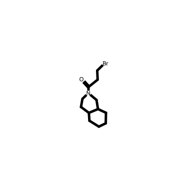 O=C(CCBr)N1CCC2CCCCC2C1